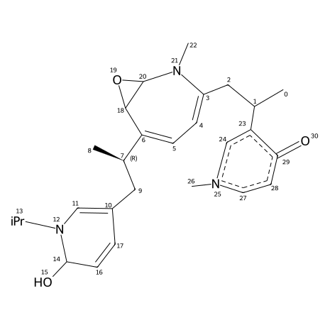 CC(CC1=CC=C([C@H](C)CC2=CN(C(C)C)C(O)C=C2)C2OC2N1C)c1cn(C)ccc1=O